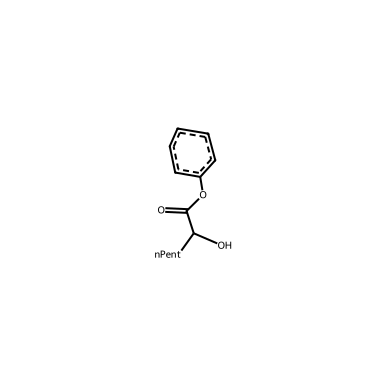 CCCCCC(O)C(=O)Oc1ccccc1